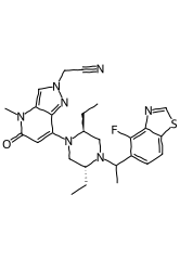 CC[C@H]1CN(C(C)c2ccc3scnc3c2F)[C@H](CC)CN1c1cc(=O)n(C)c2cn(CC#N)nc12